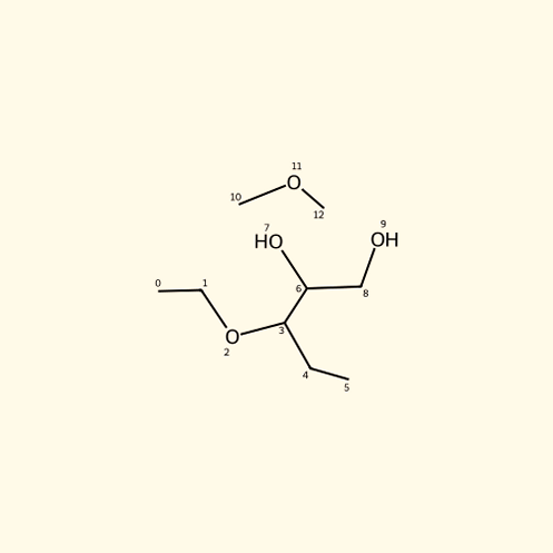 CCOC(CC)C(O)CO.COC